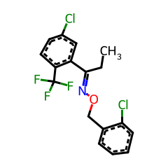 CC/C(=N\OCc1ccccc1Cl)c1cc(Cl)ccc1C(F)(F)F